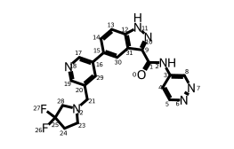 O=C(Nc1ccnnc1)c1n[nH]c2ccc(-c3cncc(CN4CCC(F)(F)C4)c3)cc12